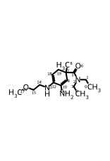 CCN(CC)C(=O)C1(C)C=C(N)C(NCCOC)=CC1